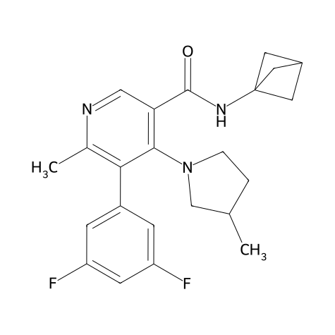 Cc1ncc(C(=O)NC23CC(C2)C3)c(N2CCC(C)C2)c1-c1cc(F)cc(F)c1